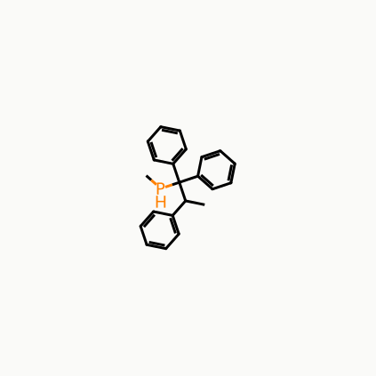 CPC(c1ccccc1)(c1ccccc1)C(C)c1ccccc1